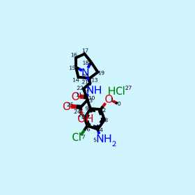 COc1cc(N)c(Cl)cc1C(=O)NC1CC2CCC(C1)N2CCCC(=O)O.Cl